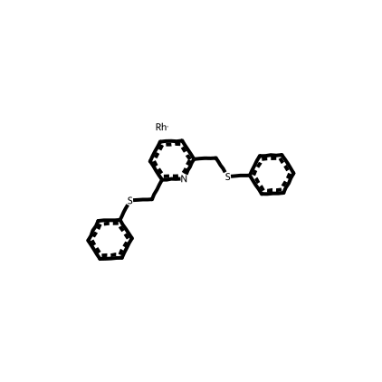 [Rh].c1ccc(SCc2cccc(CSc3ccccc3)n2)cc1